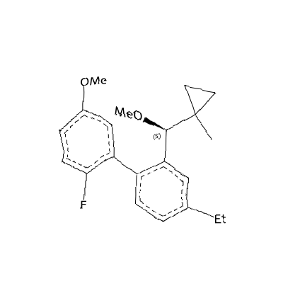 CCc1ccc(-c2cc(OC)ccc2F)c([C@@H](OC)C2(C)CC2)c1